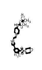 Cc1ccc(-c2cnn(CCN3CCC(NC(=O)OC(C)(C)C)CC3)c2)cc1S(=O)(=O)N1CCOCC1